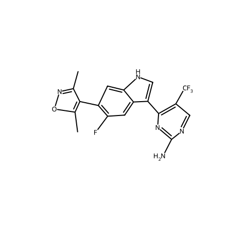 Cc1noc(C)c1-c1cc2[nH]cc(-c3nc(N)ncc3C(F)(F)F)c2cc1F